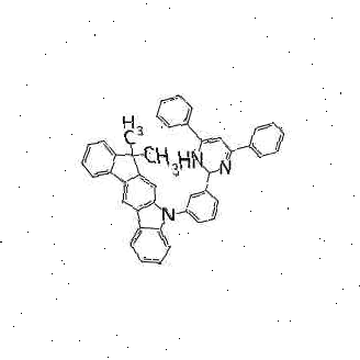 CC1(C)c2ccccc2-c2cc3c4ccccc4n(-c4cccc(C5N=C(c6ccccc6)C=C(c6ccccc6)N5)c4)c3cc21